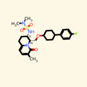 Cc1ccc2n(c1=O)[C@@H](COC1CCC(c3ccc(F)cc3)CC1)[C@@H](NS(=O)(=O)N(C)C)CC2